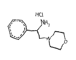 Cl.NC(CN1CCOCC1)c1ccccc1